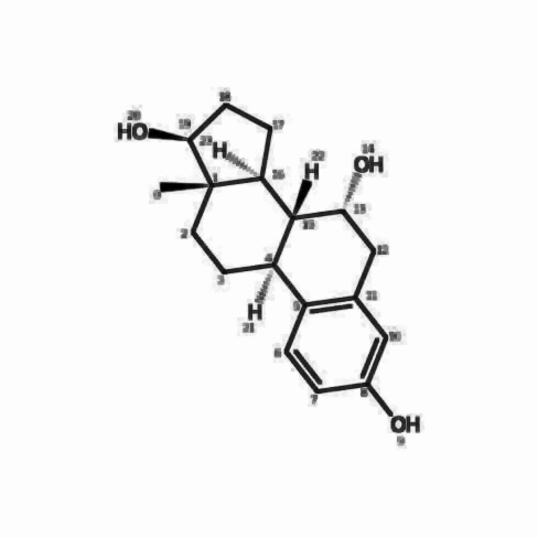 C[C@]12CC[C@@H]3c4ccc(O)cc4C[C@@H](O)[C@H]3[C@@H]1CC[C@@H]2O